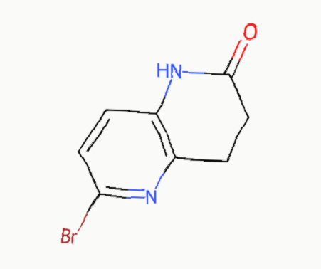 O=C1CCc2nc(Br)ccc2N1